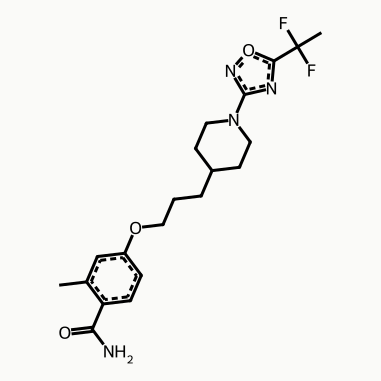 Cc1cc(OCCCC2CCN(c3noc(C(C)(F)F)n3)CC2)ccc1C(N)=O